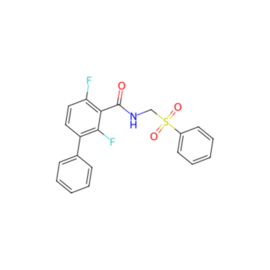 O=C(NCS(=O)(=O)c1ccccc1)c1c(F)ccc(-c2ccccc2)c1F